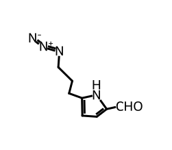 [N-]=[N+]=NCCCc1ccc(C=O)[nH]1